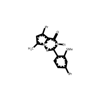 CCn1c(-c2ccc(C(C)C)cc2SC)nn2c(C)cc(C(C)C)c2c1=O